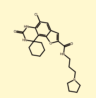 O=C1Nc2c(Cl)cc3cc(C(=O)NCCCN4CCCC4)oc3c2C2(CCCCC2)N1